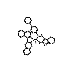 c1ccc(-c2ccc(C3=Nc4c(oc5ccccc45)NC3n3c4cc5ccccc5cc4c4c5ccccc5ccc43)cc2)cc1